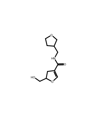 O=C(NCC1CCOC1)C1=COC(CO)C1